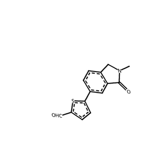 CN1Cc2ccc(-c3ccc(C=O)s3)cc2C1=O